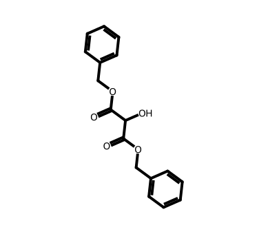 O=C(OCc1ccccc1)C(O)C(=O)OCc1ccccc1